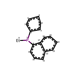 CCP(c1ccccc1)c1cccc2ccccc12